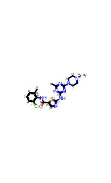 CCCN1CCN(c2nc(C)nc(Nc3ncc(C(=O)Nc4c(C)cccc4Cl)s3)n2)CC1